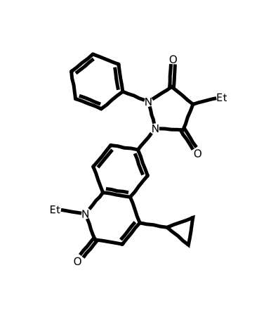 CCC1C(=O)N(c2ccccc2)N(c2ccc3c(c2)c(C2CC2)cc(=O)n3CC)C1=O